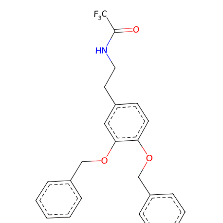 O=C(NCCc1ccc(OCc2ccccc2)c(OCc2ccccc2)c1)C(F)(F)F